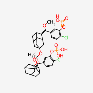 COC(=C1C2CC3CC1CC(OCOC14CC5CC(C1)C(=C(OC)c1ccc(Cl)c(OP(=O)(O)O)c1)C(C5)C4)(C3)C2)c1ccc(Cl)c(O[PH](=O)O)c1